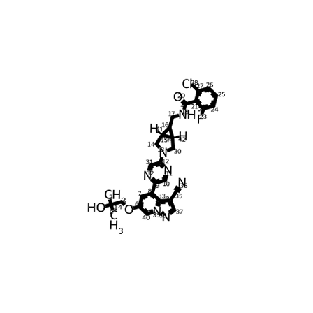 CC(C)(O)COc1cc(-c2cnc(N3C[C@@H]4C(CNC(=O)c5c(F)cccc5Cl)[C@@H]4C3)cn2)c2c(C#N)cnn2c1